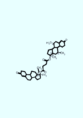 CC[C@]12CCC3C4CCC(=O)C=C4CCC3C1CC[C@]2(C)OC(=O)CCC(=O)O[C@H]1CCC2C3C(C4CCC(=O)C=C4C[C@H]3C)[C@@H](C)C[C@@]21C